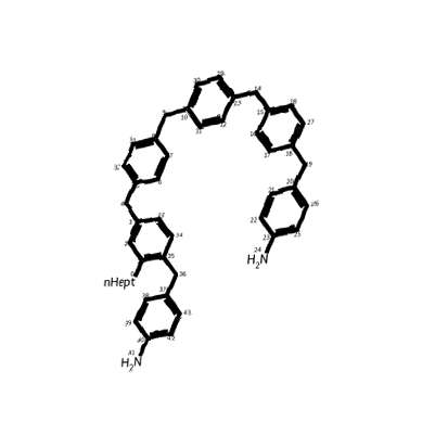 CCCCCCCc1cc(Cc2ccc(Cc3ccc(Cc4ccc(Cc5ccc(N)cc5)cc4)cc3)cc2)ccc1Cc1ccc(N)cc1